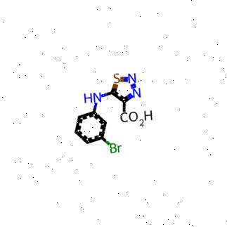 O=C(O)c1nnsc1Nc1cccc(Br)c1